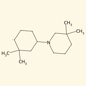 CC1(C)[CH]CCC(N2CCCC(C)(C)C2)C1